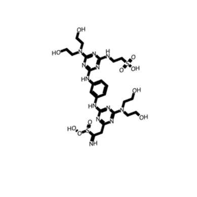 N=C(Cc1nc(Nc2cccc(Nc3nc(NCCS(=O)(=O)O)nc(N(CCO)CCO)n3)c2)nc(N(CCO)CCO)n1)S(=O)OO